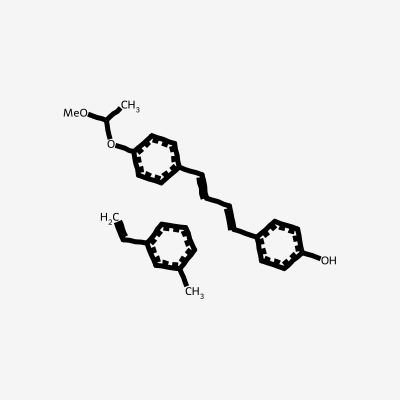 C=Cc1cccc(C)c1.COC(C)Oc1ccc(C=CC=Cc2ccc(O)cc2)cc1